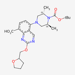 C[C@H]1CN(c2ccc(C(=O)O)c3nc(OCC4CCCO4)ncc23)C[C@H](C)N1C(=O)OC(C)(C)C